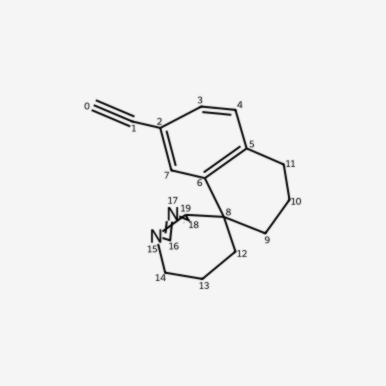 C#Cc1ccc2c(c1)C1(CCC2)CCCn2cncc21